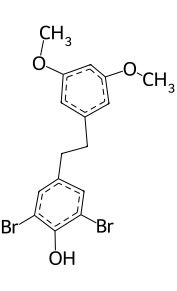 COc1cc(CCc2cc(Br)c(O)c(Br)c2)cc(OC)c1